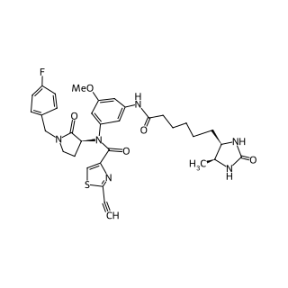 C#Cc1nc(C(=O)N(c2cc(NC(=O)CCCCC[C@H]3NC(=O)N[C@H]3C)cc(OC)c2)[C@H]2CCN(Cc3ccc(F)cc3)C2=O)cs1